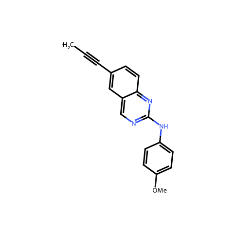 [CH2]C#Cc1ccc2nc(Nc3ccc(OC)cc3)ncc2c1